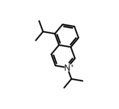 CC(C)c1cccc2c[n+](C(C)C)ccc12